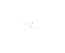 CN(C(=O)OC(C)(C)C)[C@@H](CCC(C)(C)F)C(=O)O[C@H](CCc1ccc(C2=CCOCC2)cc1)C(=O)OCc1ccccc1